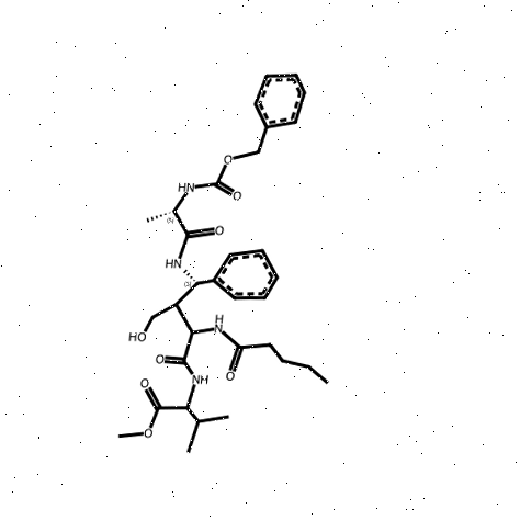 CCCCC(=O)NC(C(=O)NC(C(=O)OC)C(C)C)C(CO)[C@H](NC(=O)[C@H](C)NC(=O)OCc1ccccc1)c1ccccc1